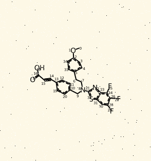 COc1ccc(CCN(Cc2ccc(C#CC(=O)O)cc2)c2nc3c(F)c(F)c(F)cc3s2)cc1